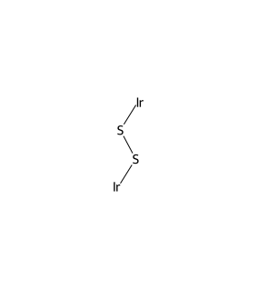 [Ir][S][S][Ir]